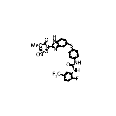 COC(=O)N(OS(C)(=O)=O)c1nc2cc(Sc3ccc(NC(=O)Nc4cc(C(F)(F)F)ccc4F)cc3)ccc2[nH]1